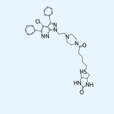 O=C1NC2C[SH](CCCCC(=O)N3CCN(CCn4nc(-c5ccccc5)c5c(Cl)c(-c6ccccc6)nnc54)CC3)CC2N1